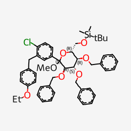 CCOc1ccc(Cc2cc([C@]3(OC)O[C@H](CO[Si](C)(C)C(C)(C)C)[C@@H](OCc4ccccc4)[C@H](OCc4ccccc4)[C@H]3OCc3ccccc3)ccc2Cl)cc1